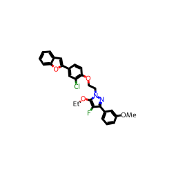 CCOc1c(F)c(-c2cccc(OC)c2)nn1CCOc1ccc(-c2cc3ccccc3o2)cc1Cl